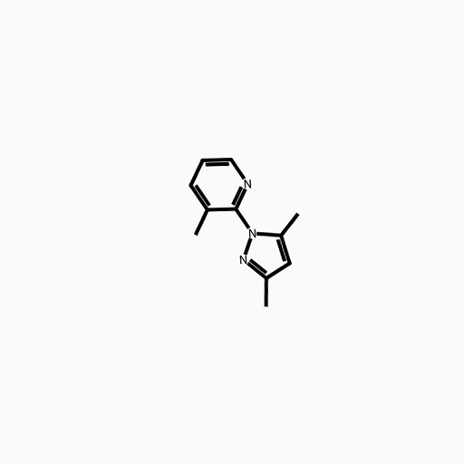 Cc1cc(C)n(-c2ncccc2C)n1